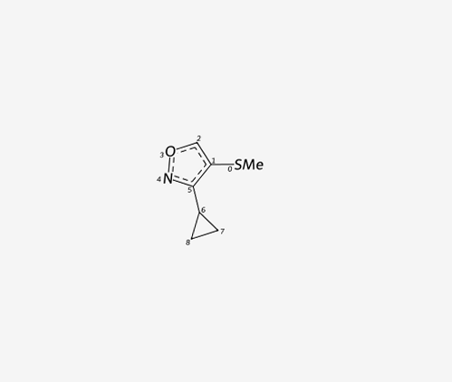 CSc1conc1C1CC1